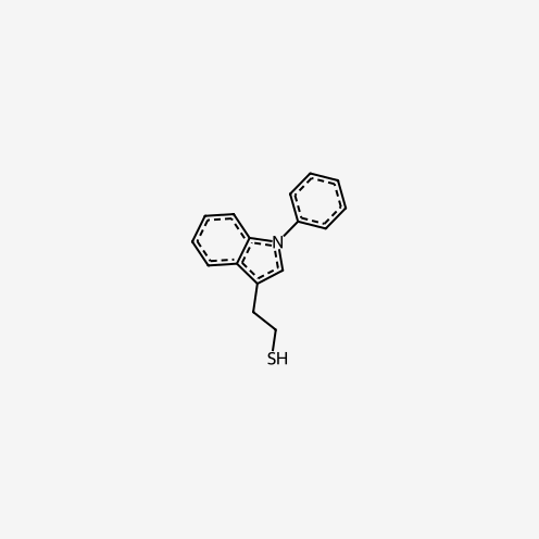 SCCc1cn(-c2ccccc2)c2ccccc12